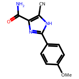 COc1ccc(-c2nc(C(N)=O)c(C#N)[nH]2)cc1